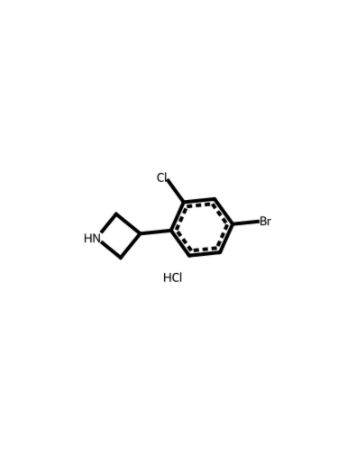 Cl.Clc1cc(Br)ccc1C1CNC1